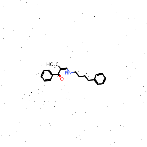 O=C(O)C(=CNCCCCc1ccccc1)C(=O)c1ccccc1